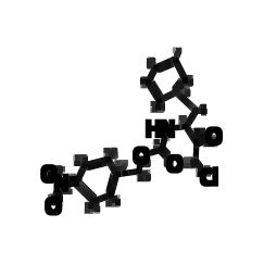 O=C(NC(Cc1ccccc1)C(=O)CCl)OCc1ccc([N+](=O)[O-])cc1